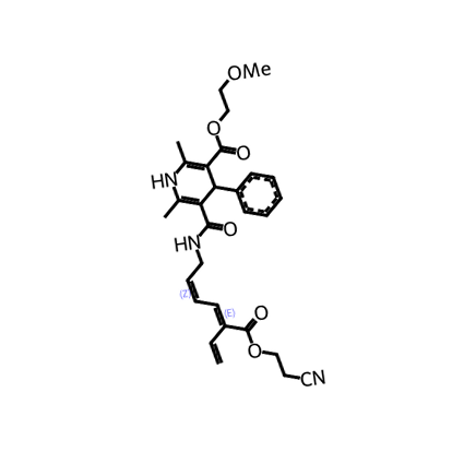 C=C/C(=C\C=C/CNC(=O)C1=C(C)NC(C)=C(C(=O)OCCOC)C1c1ccccc1)C(=O)OCCC#N